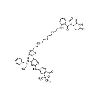 CC1(C)OC(=O)c2ccc(Nc3ncc(-c4nnc(CCNCCOCCOCCNc5cccc6c5C(=O)N(C5CCC(=O)NC5=O)C6=O)o4)c(N[C@H](CO)c4ccccc4)n3)cc21